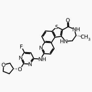 C[C@@H]1CNc2c(sc3ccc4nc(Nc5cc(F)nc(O[C@@H]6CCOC6)n5)ccc4c23)C(=O)N1